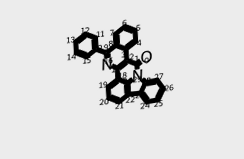 O=c1c2c3ccccc3c(-c3ccccc3)nc2c2cccc3c4ccccc4n1c32